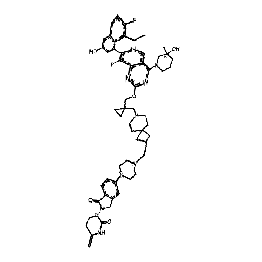 C=C1CC[C@H](N2Cc3cc(N4CCN(CC5CC6(CCN(CC7(COc8nc(N9CCC[C@@](C)(O)C9)c9cnc(-c%10cc(O)cc%11ccc(F)c(CC)c%10%11)c(F)c9n8)CC7)CC6)C5)CC4)ccc3C2=O)C(=O)N1